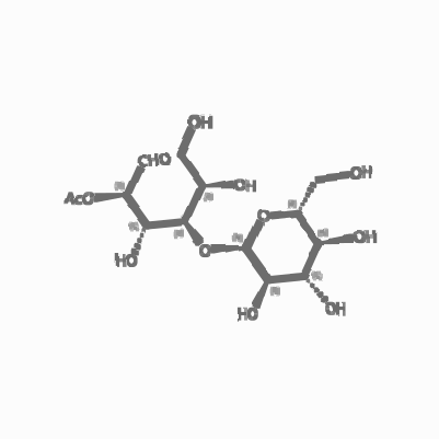 CC(=O)O[C@@H](C=O)[C@@H](O)[C@H](O[C@H]1O[C@H](CO)[C@@H](O)[C@H](O)[C@H]1O)[C@H](O)CO